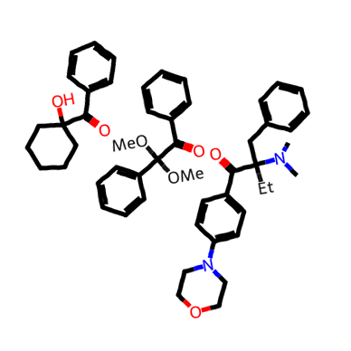 CCC(Cc1ccccc1)(C(=O)c1ccc(N2CCOCC2)cc1)N(C)C.COC(OC)(C(=O)c1ccccc1)c1ccccc1.O=C(c1ccccc1)C1(O)CCCCC1